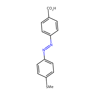 CSc1ccc(N=Nc2ccc(C(=O)O)cc2)cc1